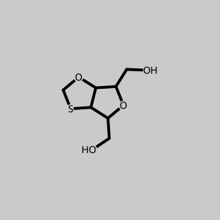 OCC1OC(CO)C2SCOC12